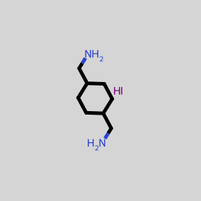 I.NCC1CCC(CN)CC1